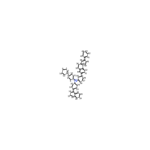 c1ccc(-c2ccc(N(c3ccc(-c4cccc5ccccc45)cc3)c3cccc(-c4ccc5c(ccc6cc(-c7ccccc7)ccc65)c4)c3)cc2)cc1